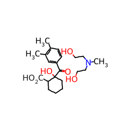 CN(CCO)CCO.Cc1ccc(C(=O)C2(O)CCCCC2C(=O)O)cc1C